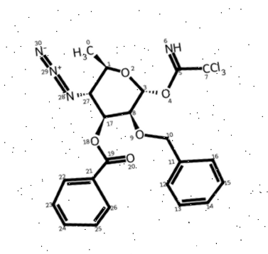 C[C@H]1O[C@H](OC(=N)C(Cl)(Cl)Cl)[C@@H](OCc2ccccc2)[C@@H](OC(=O)c2ccccc2)[C@@H]1N=[N+]=[N-]